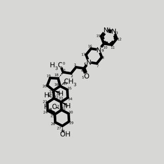 CC(CCC(=O)N1CCN(c2ccnnc2)CC1)[C@H]1CC[C@H]2[C@@H]3CC=C4C[C@@H](O)CC[C@]4(C)[C@H]3CC[C@]12C